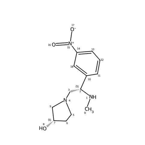 CN[C@H](CN1CC[C@H](O)C1)c1cccc([N+](=O)[O-])c1